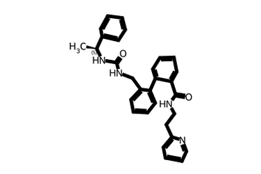 C[C@H](NC(=O)NCc1ccccc1-c1ccccc1C(=O)NCCc1ccccn1)c1ccccc1